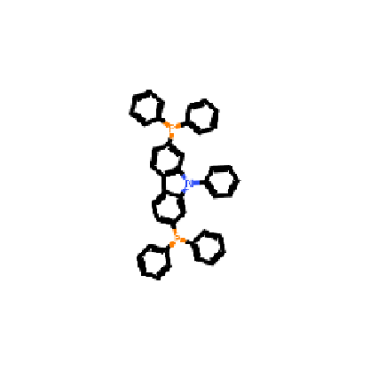 c1ccc(-n2c3cc(P(c4ccccc4)c4ccccc4)ccc3c3ccc(P(c4ccccc4)c4ccccc4)cc32)cc1